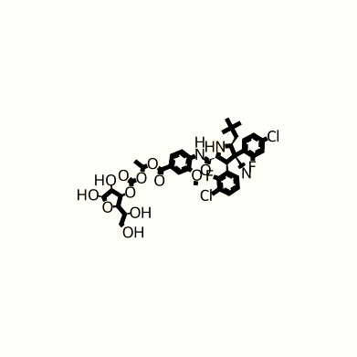 COc1cc(C(=O)OC(C)OC(=O)O[C@@H]2[C@@H](O)[C@@H](O)O[C@@H]2[C@H](O)CO)ccc1NC(=O)[C@@H]1N[C@@H](CC(C)(C)C)[C@](C#N)(c2ccc(Cl)cc2F)[C@H]1c1cccc(Cl)c1F